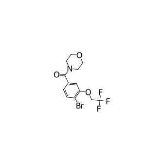 O=C(c1ccc(Br)c(OCC(F)(F)F)c1)N1CCOCC1